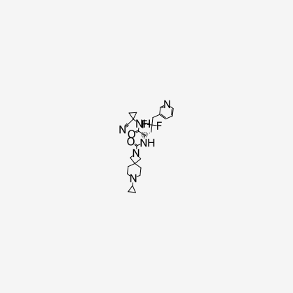 N#CC1(NC(=O)[C@H](CC(F)(F)Cc2cccnc2)NC(=O)N2CC3(CCN(C4CC4)CC3)C2)CC1